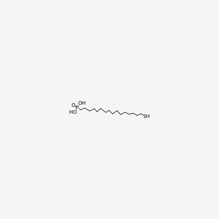 O=P(O)(O)CCCCCCCCCCCCCCCCS